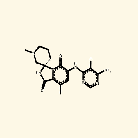 Cc1cc(Nc2ncnc(N)c2Cl)c(=O)n2c1C(=O)N[C@]21CCCN(C)C1